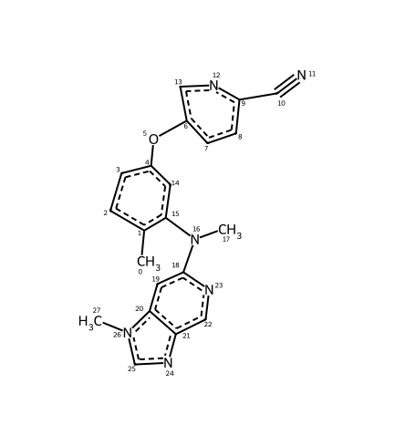 Cc1ccc(Oc2ccc(C#N)nc2)cc1N(C)c1cc2c(cn1)ncn2C